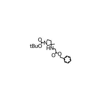 CC1(NCC(=O)OCc2ccccc2)CCN(C(=O)OC(C)(C)C)C1